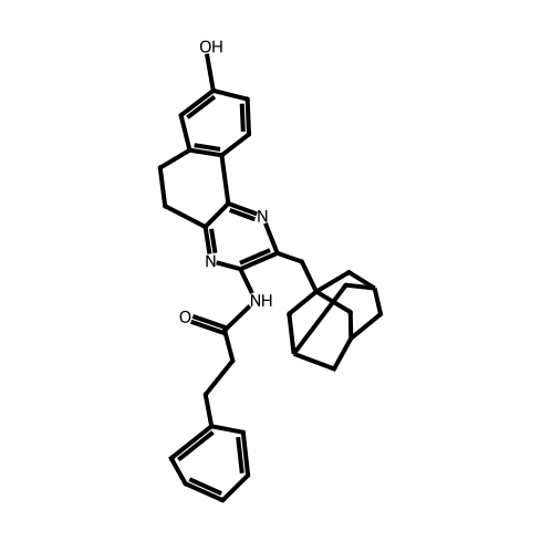 O=C(CCc1ccccc1)Nc1nc2c(nc1CC13CC4CC(CC(C4)C1)C3)-c1ccc(O)cc1CC2